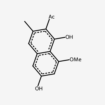 COc1cc(O)cc2cc(C)c(C(C)=O)c(O)c12